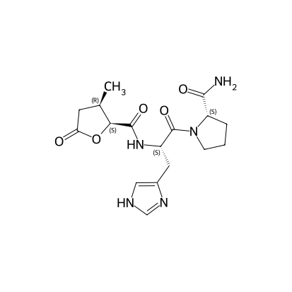 C[C@@H]1CC(=O)O[C@@H]1C(=O)N[C@@H](Cc1c[nH]cn1)C(=O)N1CCC[C@H]1C(N)=O